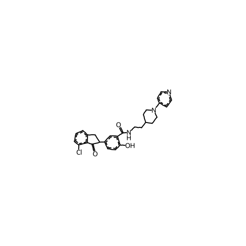 O=C(NCCC1CCN(c2ccncc2)CC1)c1cc(C2Cc3cccc(Cl)c3C2=O)ccc1O